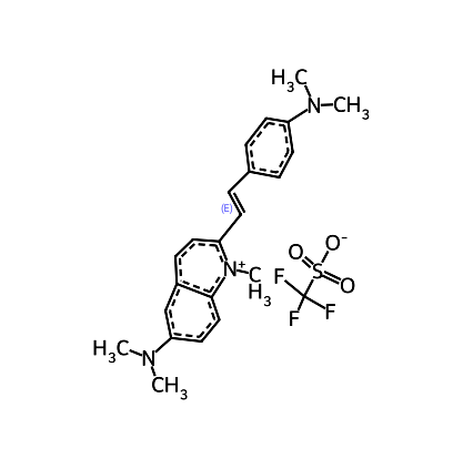 CN(C)c1ccc(/C=C/c2ccc3cc(N(C)C)ccc3[n+]2C)cc1.O=S(=O)([O-])C(F)(F)F